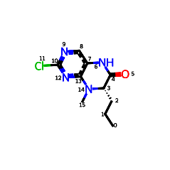 CCC[C@H]1C(=O)Nc2cnc(Cl)nc2N1C